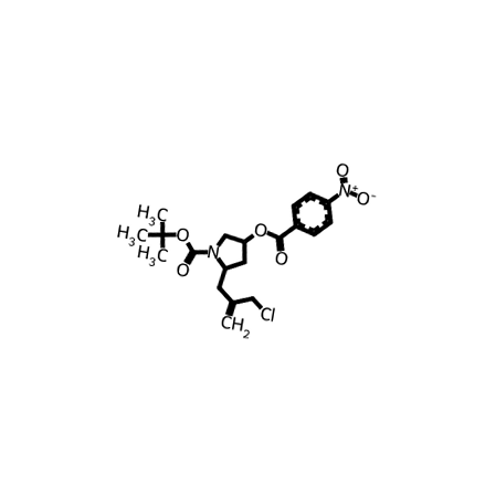 C=C(CCl)CC1CC(OC(=O)c2ccc([N+](=O)[O-])cc2)CN1C(=O)OC(C)(C)C